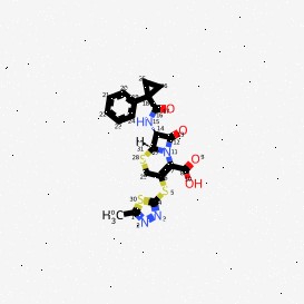 Cc1nnc(SC2=C(C(=O)O)N3C(=O)[C@@H](NC(=O)C4(c5ccccc5)CC4)[C@@H]3SC2)s1